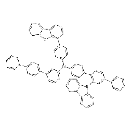 c1ccc(-c2ccc(-c3cccc(N(c4ccc(-c5ccc(-c6ccccc6)cc5-n5c6ccccc6c6ccccc65)cc4)c4ccc(-c5cccc6c5oc5ccccc56)cc4)c3)cc2)cc1